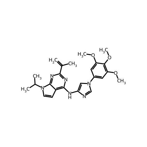 C=C(C)c1nc(Nc2cn(-c3cc(OC)c(OC)c(OC)c3)cn2)c2ccn(C(C)C)c2n1